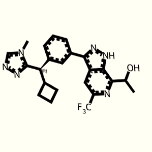 CC(O)c1nc(C(F)(F)F)cc2c(-c3cccc([C@H](c4nncn4C)C4CCC4)c3)n[nH]c12